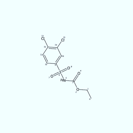 CCOC(=O)NS(=O)(=O)c1ccc(Cl)c(Cl)c1